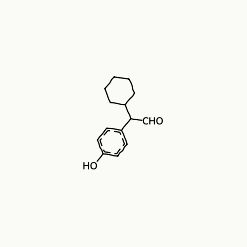 O=CC(c1ccc(O)cc1)C1CCCCC1